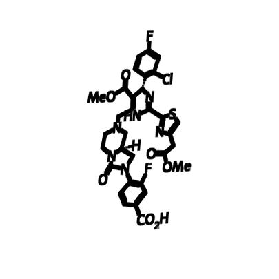 COC(=O)Cc1csc(C2=N[C@@H](c3ccc(F)cc3Cl)C(C(=O)OC)=C(CN3CCN4C(=O)N(c5ccc(C(=O)O)cc5F)C[C@@H]4C3)N2)n1